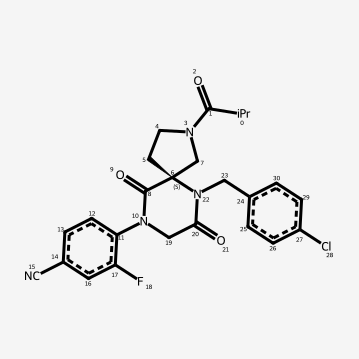 CC(C)C(=O)N1CC[C@]2(C1)C(=O)N(c1ccc(C#N)cc1F)CC(=O)N2Cc1ccc(Cl)cc1